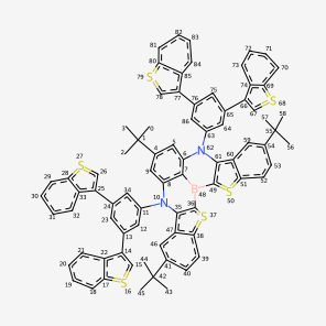 CC(C)(C)c1cc2c3c(c1)N(c1cc(-c4csc5ccccc45)cc(-c4csc5ccccc45)c1)c1c(sc4ccc(C(C)(C)C)cc14)B3c1sc3ccc(C(C)(C)C)cc3c1N2c1cc(-c2csc3ccccc23)cc(-c2csc3ccccc23)c1